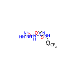 Cc1cnc(NCCc2cccc(C(F)(F)F)c2)c(=O)n1CC(=O)NCCONC(=N)N